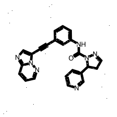 O=C(Nc1cccc(C#Cc2cnc3cccnn23)c1)N1N=CCC1c1cccnc1